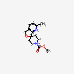 Cc1ccc2c(n1)C1(CCN(C(=O)OC(C)(C)C)CC1)OC2